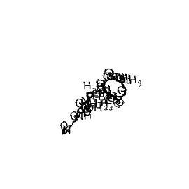 COc1cc2cc(c1Cl)N(C)C(=O)C[C@H](OC(=O)COc1cccc(/C(C)=N/NC(=O)c3ccc(NC(=O)CCCCCN4CC=CC4=O)cc3S(=O)(=O)O)c1)C1(C)OC1CC1C[C@@](O)(NC(=O)O1)[C@H](OC)/C=C/C=C(\C)C2